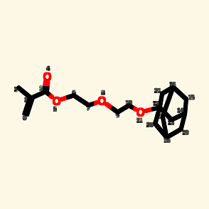 C=C(C)C(=O)OCCOCCOC12CC3CC(CC(C3)C1)C2